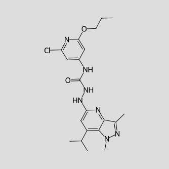 CCCOc1cc(NC(=O)NNc2cc(C(C)C)c3c(n2)c(C)nn3C)cc(Cl)n1